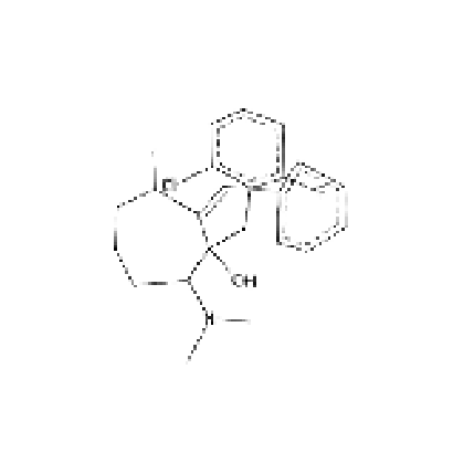 CC1CCCC(N(C)C)C(O)(Cc2c(F)cccc2Cl)C1=Cc1ccccc1